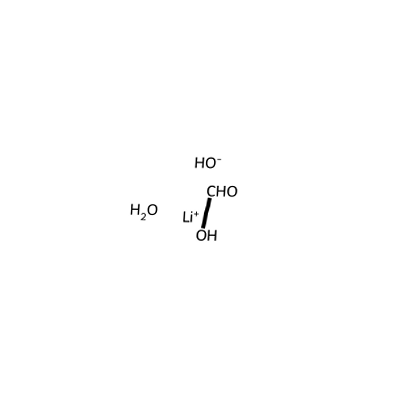 O.O=CO.[Li+].[OH-]